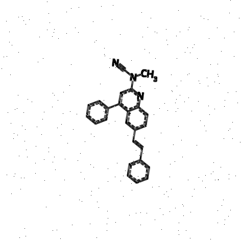 CN(C#N)c1cc(-c2ccccc2)c2cc(/C=C/c3ccccc3)ccc2n1